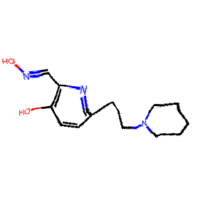 O/N=C/c1nc(CCN2CCCCC2)ccc1O